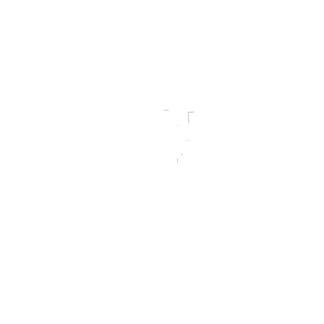 Cc1[c]ccc(C(F)(F)F)c1Oc1ccccc1